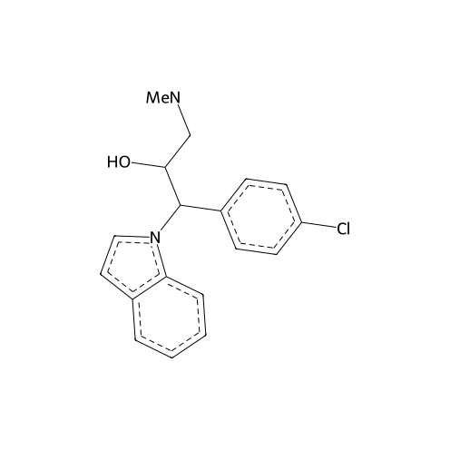 CNCC(O)C(c1ccc(Cl)cc1)n1ccc2ccccc21